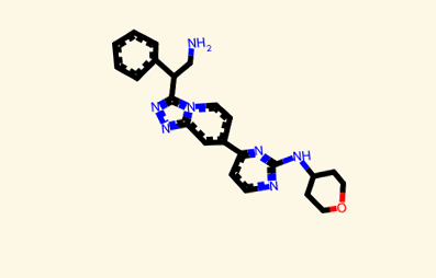 NCC(c1ccccc1)c1nnc2cc(-c3ccnc(NC4CCOCC4)n3)ccn12